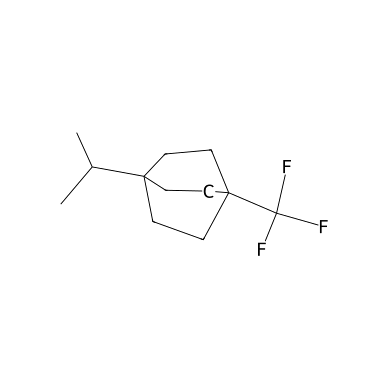 CC(C)C12CCC(C(F)(F)F)(CC1)CC2